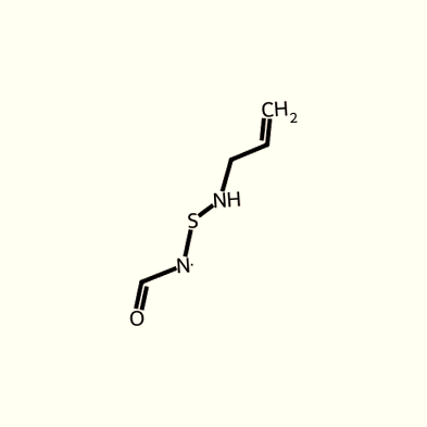 C=CCNS[N]C=O